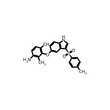 Cc1ccc(S(=O)(=O)c2c[nH]c3ccc(Oc4c(C)c[c]c(N)c4C)cc23)cc1